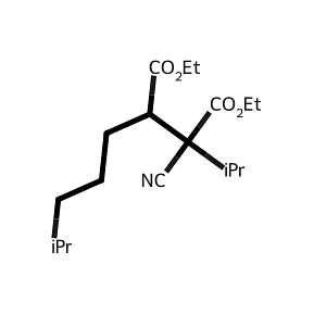 CCOC(=O)C(CCCC(C)C)C(C#N)(C(=O)OCC)C(C)C